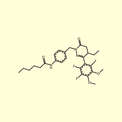 CCCCCC(=O)Nc1ccc(CN2N=C(c3c(F)c(F)c(OC)c(OC)c3F)C(CC)CC2=O)cc1